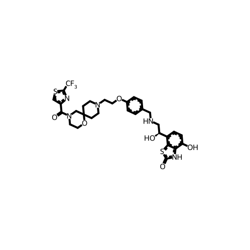 O=C(c1csc(C(F)(F)F)n1)N1CCOC2(CCN(CCOc3ccc(CNC[C@H](O)c4ccc(O)c5[nH]c(=O)sc45)cc3)CC2)C1